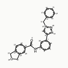 O=C(Nc1cccc(-c2cn(Cc3ccccc3)nn2)c1)c1ccc2c(c1)COC2